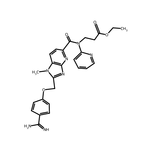 CCOC(=O)CCN(C(=O)c1ccc2c(n1)nc(COc1ccc(C(=N)N)cc1)n2C)c1ccccn1